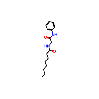 CCCCCCCC(=O)NCC(=O)Nc1ccccc1